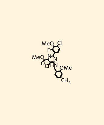 COC(=O)c1nc(-c2ccc(Cl)c(OC)c2F)nc(NCc2ccc(C)cc2OC)c1Cl